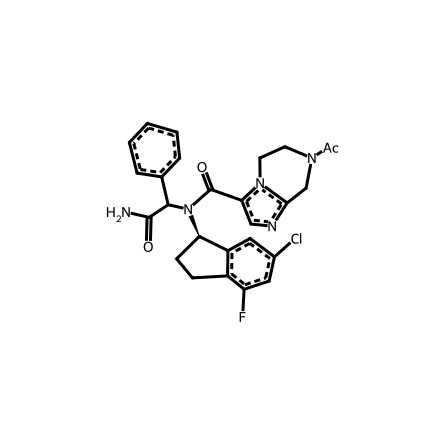 CC(=O)N1CCn2c(C(=O)N(C(C(N)=O)c3ccccc3)[C@@H]3CCc4c(F)cc(Cl)cc43)cnc2C1